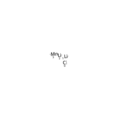 [C].[Li].[Li].[Mn]